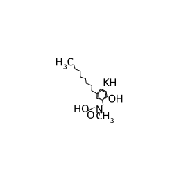 CCCCCCCCCc1ccc(O)c(CN(C)CC(=O)O)c1.[KH]